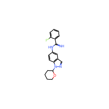 N=C(Nc1ccc2c(cnn2C2CCCCO2)c1)c1ccccc1F